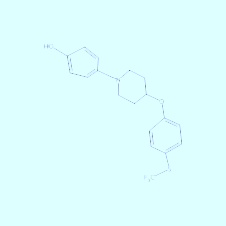 Oc1ccc(N2CCC(Oc3ccc(SC(F)(F)F)cc3)CC2)cc1